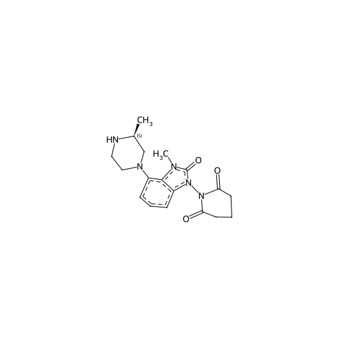 C[C@H]1CN(c2cccc3c2n(C)c(=O)n3N2C(=O)CCCC2=O)CCN1